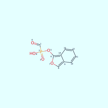 O=CP(=O)(O)Oc1occ2ccccc12